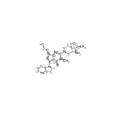 C[C@@H]1OCC2(CCN(c3nc4c(c(N5CCc6ncccc65)nn4OC=O)c(=O)n3C)CC2)[C@@H]1N